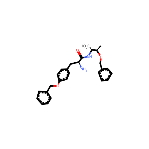 C[C@@H](OCc1ccccc1)[C@H](NC(=O)[C@@H](N)Cc1ccc(OCc2ccccc2)cc1)C(=O)O